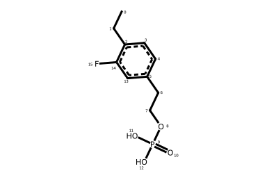 CCc1ccc(CCOP(=O)(O)O)cc1F